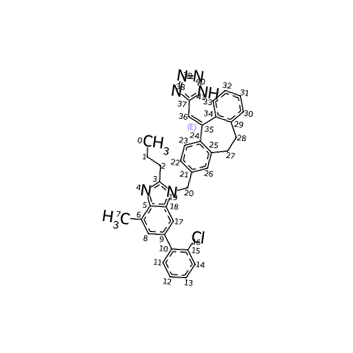 CCCc1nc2c(C)cc(-c3ccccc3Cl)cc2n1Cc1ccc2c(c1)CCc1ccccc1/C2=C\c1nnn[nH]1